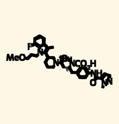 COCCCn1c(C2CCCN(C(=O)C[C@@H](Cc3ccc(NC(=O)c4ccnn4C)cc3)N(C(=O)O)C(C)(C)C)C2)c(C)c2cccc(F)c21